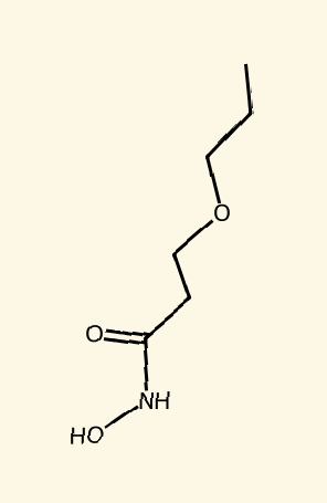 CCCOCCC(=O)NO